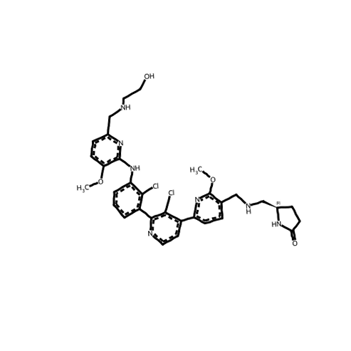 COc1ccc(CNCCO)nc1Nc1cccc(-c2nccc(-c3ccc(CNC[C@H]4CCC(=O)N4)c(OC)n3)c2Cl)c1Cl